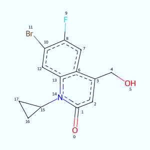 O=c1cc(CO)c2cc(F)c(Br)cc2n1C1CC1